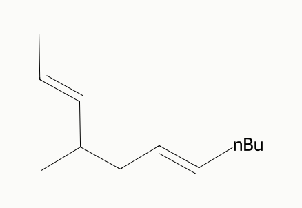 CC=CC(C)CC=CCCCC